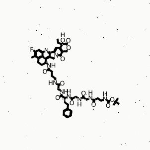 CC[C@@]1(O)C(=O)OCc2c1cc1n(c2=O)Cc2c-1nc1cc(F)c(C)c3c1c2[C@@H](NC(=O)CCCNC(=O)CNC(=O)[C@H](CCc1ccccc1)NC(=O)CNC(=O)CNC(=O)CCNC(=O)OC(C)(C)C)CC3